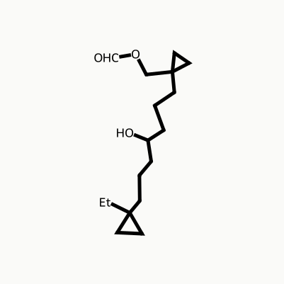 CCC1(CCCC(O)CCCC2(COC=O)CC2)CC1